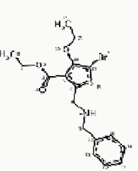 CCOC(=O)c1c(CNCc2ccccc2)sc(Br)c1OCC